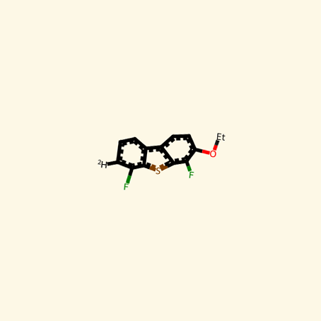 [2H]c1ccc2c(sc3c(F)c(OCC)ccc32)c1F